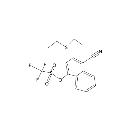 CCSCC.N#Cc1ccc(OS(=O)(=O)C(F)(F)F)c2ccccc12